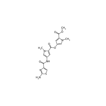 COC(=O)c1cc(OC(=O)c2cc(NC(=O)c3csc(N)n3)cn2C)cn1C